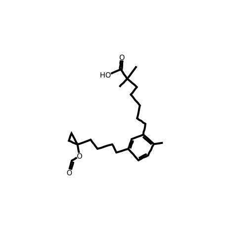 Cc1ccc(CCCCC2(OC=O)CC2)cc1CCCCCC(C)(C)C(=O)O